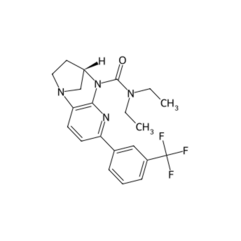 CCN(CC)C(=O)N1c2nc(-c3cccc(C(F)(F)F)c3)ccc2N2CC[C@H]1C2